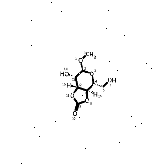 CO[C@H]1O[C@H](CO)[C@H]2OC(=O)O[C@@H]2[C@@H]1O